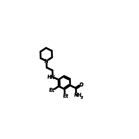 CCc1c(NCCN2CCCCC2)ccc(C(N)=O)c1CC